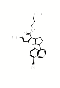 Cc1cc2c(c(OCCCO)n1)C1CCC(c3ccccc3)C1(c1ccc(C#N)cc1)O2